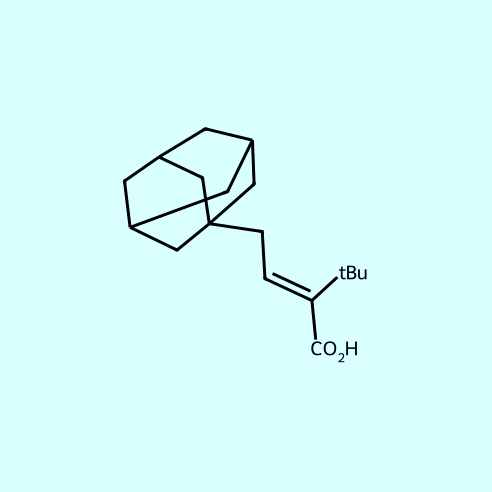 CC(C)(C)/C(=C\CC12CC3CC(CC(C3)C1)C2)C(=O)O